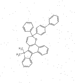 CC1(C)c2ccccc2-c2c1c1c(c3ccccc23)OC(c2ccccc2)(c2ccc(-c3ccccc3)cc2)C=C1